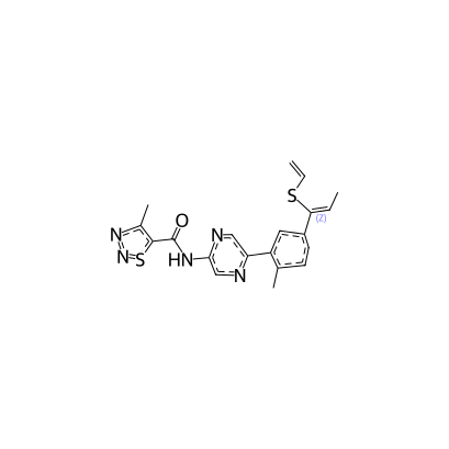 C=CS/C(=C\C)c1ccc(C)c(-c2cnc(NC(=O)c3snnc3C)cn2)c1